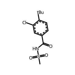 CC(C)(C)c1ccc(C(=O)NS(C)(=O)=O)cc1Cl